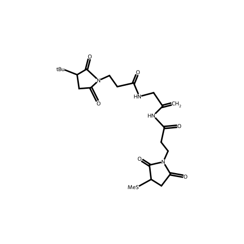 C=C(CNC(=O)CCN1C(=O)CC(C(C)(C)C)C1=O)NC(=O)CCN1C(=O)CC(SC)C1=O